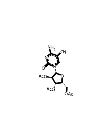 CC(=O)OC[C@H]1O[C@@H](n2cc(C#N)c(N)nc2=O)[C@H](OC(C)=O)[C@H]1OC(C)=O